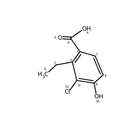 CCc1c(C(=O)O)ccc(O)c1Cl